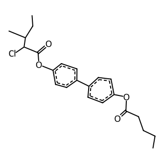 CCCCC(=O)Oc1ccc(-c2ccc(OC(=O)C(Cl)C(C)CC)cc2)cc1